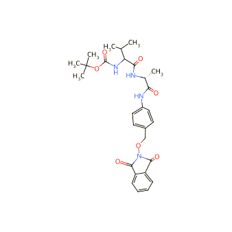 CC(C)C(NC(=O)OC(C)(C)C)C(=O)N[C@H](C)C(=O)Nc1ccc(CON2C(=O)c3ccccc3C2=O)cc1